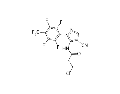 N#Cc1cnn(-c2c(F)c(F)c(C(F)(F)F)c(F)c2F)c1NC(=O)CCCl